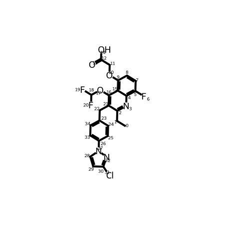 CCc1nc2c(F)ccc(OCC(=O)O)c2c(OC(F)F)c1Cc1ccc(-n2ccc(Cl)n2)cc1